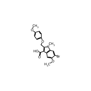 COc1ccc(OCc2c(C(=O)O)c3cc(OC)c(Br)cc3n2C)cc1